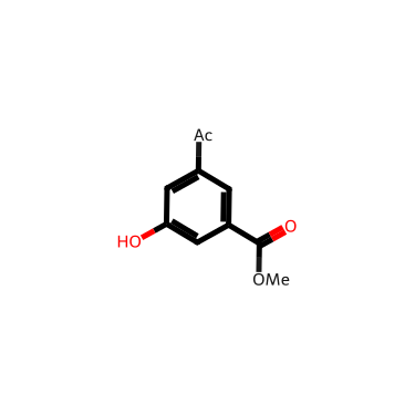 COC(=O)c1cc(O)cc(C(C)=O)c1